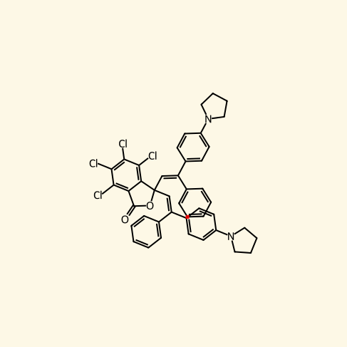 O=C1OC(C=C(c2ccccc2)c2ccc(N3CCCC3)cc2)(C=C(c2ccccc2)c2ccc(N3CCCC3)cc2)c2c(Cl)c(Cl)c(Cl)c(Cl)c21